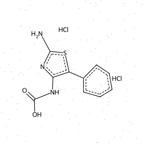 Cl.Cl.Nc1nc(NC(=O)O)c(-c2ccccc2)s1